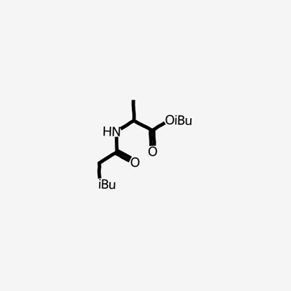 CCC(C)CC(=O)NC(C)C(=O)OCC(C)C